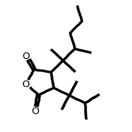 CCCC(C)C(C)(C)C1C(=O)OC(=O)C1C(C)(C)C(C)C